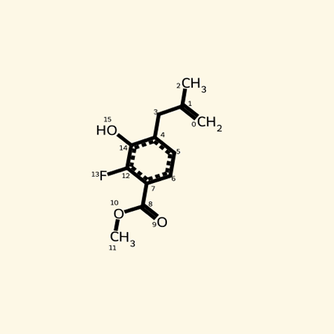 C=C(C)Cc1ccc(C(=O)OC)c(F)c1O